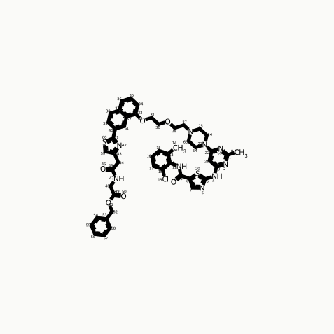 Cc1nc(Nc2ncc(C(=O)Nc3c(C)cccc3Cl)s2)cc(N2CCN(CCOCCOc3cccc4ccc(-c5nc(CC(=O)NCC(=O)OCc6ccccc6)cs5)cc34)CC2)n1